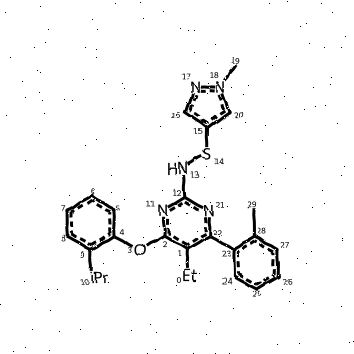 CCc1c(Oc2ccccc2C(C)C)nc(NSc2cnn(C)c2)nc1-c1ccccc1C